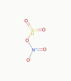 O=[N+]([O-])O[SH](=O)=O